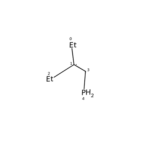 CC[C](CC)CP